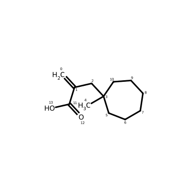 C=C(CC1(C)CCCCCC1)C(=O)O